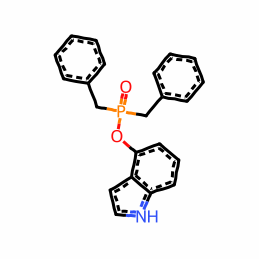 O=P(Cc1ccccc1)(Cc1ccccc1)Oc1cccc2[nH]ccc12